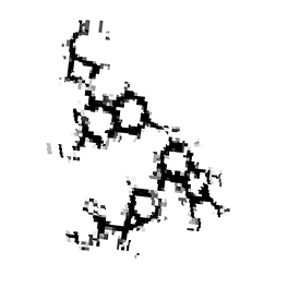 CCc1[nH]c2nc(Sc3ccc4c(N5CC(CN)C5)nc(C)nc4c3)nc(N3CC4C(C3)C4(N)C(N)=O)c2c1Cl